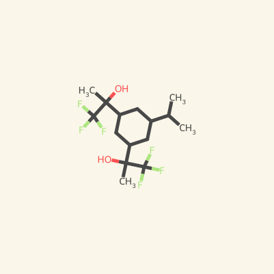 CC(C)C1CC(C(C)(O)C(F)(F)F)CC(C(C)(O)C(F)(F)F)C1